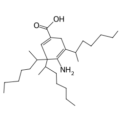 CCCCCC(C)C1=C(N)C(C(C)CCCCC)(C(C)CCCCC)C=C(C(=O)O)C1